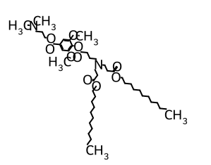 CCCCCCCCCCCCOC(=O)CCN(CCCC(=O)Oc1c(OC)cc(C(=O)OCCCN(C)C)cc1OC)CCC(=O)OCCCCCCCCCCCC